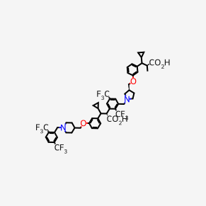 C[C@H](C(=O)O)C(c1cccc(OC[C@H]2CCN(Cc3cc(C(F)(F)F)cc([C@H](C(=O)O)C(c4cccc(OCC5CCN(Cc6cc(C(F)(F)F)ccc6C(F)(F)F)CC5)c4)C4CC4)c3C(F)(F)F)C2)c1)C1CC1